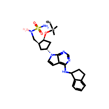 BN(C[C@@H]1C[C@@H](n2ccc3c(NC4CCc5ccccc54)ncnc32)C[C@@H]1O[Si](C)(C)C(C)(C)C)S(N)(=O)=O